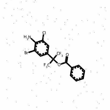 Nc1c(Cl)cc(C(OC(=O)c2ccccc2)(C(F)(F)F)C(F)(F)F)cc1Br